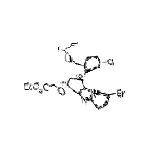 CCOC(=O)CO[C@@H]1C[C@H](c2cc(Cl)ccc2OC(F)F)c2c1nc1ccc(Br)cn21